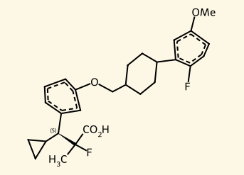 COc1ccc(F)c(C2CCC(COc3cccc([C@H](C4CC4)C(C)(F)C(=O)O)c3)CC2)c1